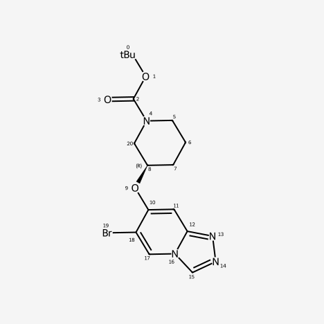 CC(C)(C)OC(=O)N1CCC[C@@H](Oc2cc3nncn3cc2Br)C1